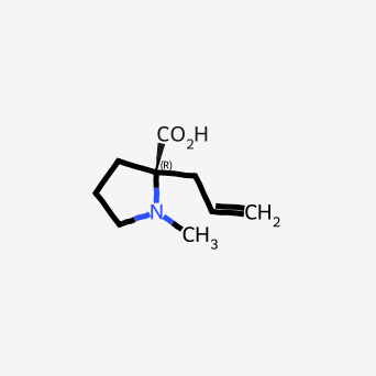 C=CC[C@@]1(C(=O)O)CCCN1C